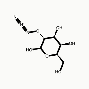 [N-]=[N+]=NO[C@@H]1[C@@H](O)[C@@H](O)[C@@H](CO)O[C@H]1O